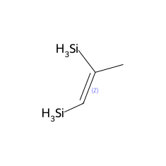 C/C([SiH3])=C/[SiH3]